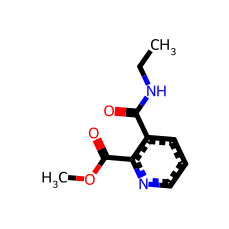 CCNC(=O)c1cccnc1C(=O)OC